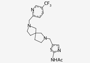 CC(=O)Nc1ncc(CN2CCC3(CCN(Cc4ccc(C(F)(F)F)cn4)C3)C2)s1